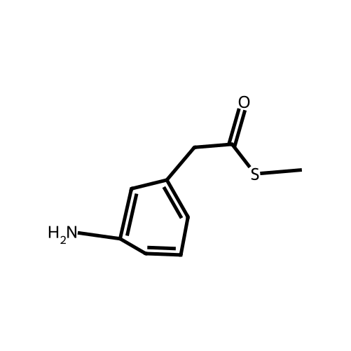 CSC(=O)Cc1cccc(N)c1